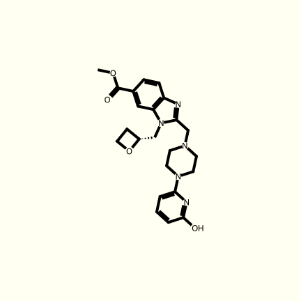 COC(=O)c1ccc2nc(CN3CCN(c4cccc(O)n4)CC3)n(C[C@H]3CCO3)c2c1